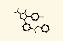 CC(C)C1CC(c2ccnc(N(C)Cc3ccccc3)c2)C(c2ccc(F)cc2)N1C